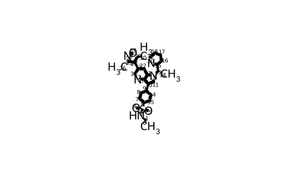 CCNS(=O)(=O)c1ccc(-c2cn([C@@H](C)c3ccccn3)c3cc(-c4c(C)noc4C)cnc23)cc1